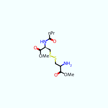 CCCC(=O)N[C@@H](CSSCC(N)C(=O)OC)C(=O)OC